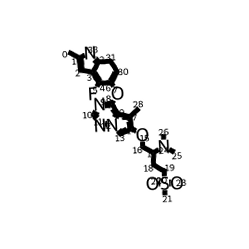 CC1=CC2=C(F)C(Oc3ncnn4cc(OCC(CCS(C)(=O)=O)N(C)C)c(C)c34)=CCC2=N1